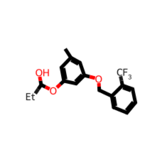 CCC(O)Oc1cc(C)cc(OCc2ccccc2C(F)(F)F)c1